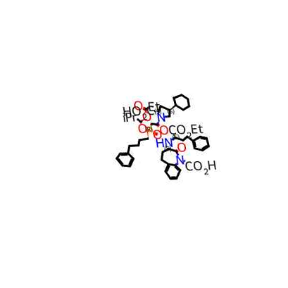 CCC(=O)OC(O[P@](=O)(CCCCc1ccccc1)CC(=O)N1C[C@H](C2CCCCC2)C[C@H]1C(=O)O)C(C)C.CCOC(=O)[C@H](CCc1ccccc1)N[C@H]1CCc2ccccc2N(CC(=O)O)C1=O